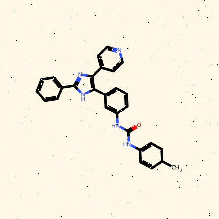 CC1C=CC(NC(=O)Nc2cccc(-c3[nH]c(-c4ccccc4)nc3-c3ccncc3)c2)=CC1